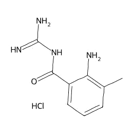 Cc1cccc(C(=O)NC(=N)N)c1N.Cl